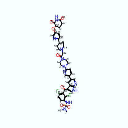 CCN(C)S(=O)(=O)Nc1ccc(F)c(C(=O)c2c[nH]c3ncc(-c4ccc(N5CCN(C(=O)CN6CCC(c7ccc(OC8CCC(=O)NC8=O)cn7)CC6)CC5)nc4)cc23)c1F